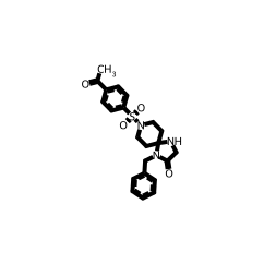 CC(=O)c1ccc(S(=O)(=O)N2CCC3(CC2)NCC(=O)N3Cc2ccccc2)cc1